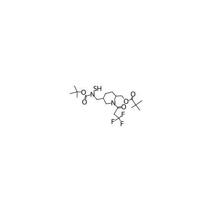 CC(C)(C)OC(=O)N(S)CC1CCC(COC(=O)C(C)(C)C)N(C(=O)CC(F)(F)F)C1